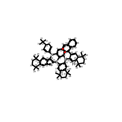 Cc1cc2c3c(c1)N(C1=CCC(C(C)(C)C)C=C1)c1c(sc4cc5c(cc14)C(C)(C)CCC5(C)C)B3c1cc3c(cc1N2C1=C[C@@H]2C(C=C1c1cccc4ccccc14)C(C)(C)CCC2(C)C)C(C)(C)CCC3(C)C